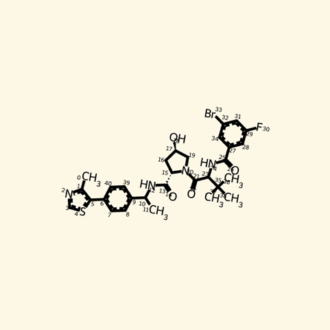 Cc1ncsc1-c1ccc(C(C)NC(=O)[C@@H]2C[C@@H](O)CN2C(=O)C(NC(=O)c2cc(F)cc(Br)c2)C(C)(C)C)cc1